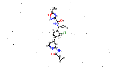 C[C@H](NC(=O)c1noc(C(C)(C)C)n1)c1ccc(-c2ccnc(NC(=O)C3CC3)c2)cc1Cl